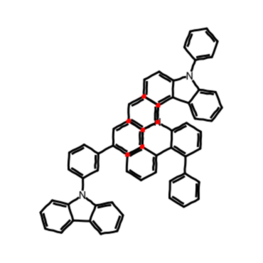 c1ccc(-c2ccccc2-c2c(-c3ccccc3)cccc2N(c2ccc(-c3cccc(-n4c5ccccc5c5ccccc54)c3)cc2)c2cccc3c2c2ccccc2n3-c2ccccc2)cc1